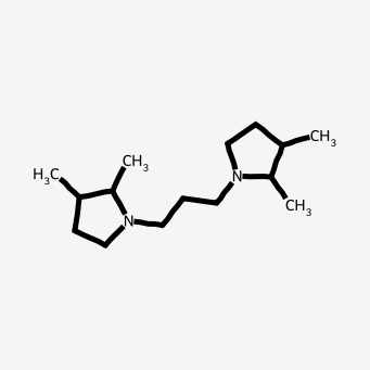 CC1CCN(CCCN2CCC(C)C2C)C1C